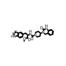 COC(=O)C(Cc1ccc2[nH]nnc2c1)NC(=O)N1CCC(N2Cc3ccccc3NC2=O)CC1